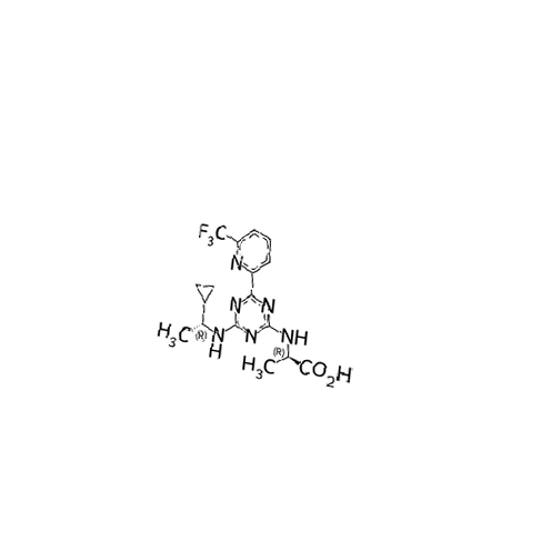 C[C@@H](Nc1nc(N[C@H](C)C2CC2)nc(-c2cccc(C(F)(F)F)n2)n1)C(=O)O